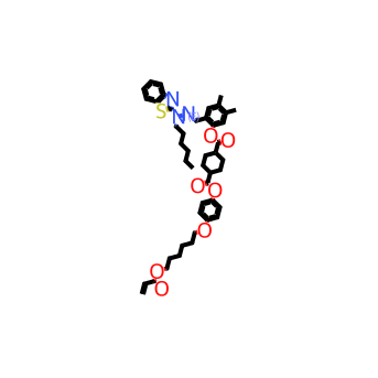 C=CC(=O)OCCCCCCOc1ccc(OC(=O)C2CCC(C(=O)Oc3cc(C)c(C)cc3/C=N/N(CCCCCC)c3nc4ccccc4s3)CC2)cc1